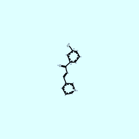 O=C(/C=C/c1cccnc1)c1cccc(Cl)c1